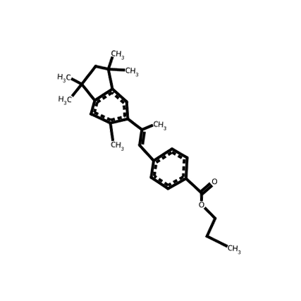 CCCOC(=O)c1ccc(C=C(C)c2cc3c(cc2C)C(C)(C)CC3(C)C)cc1